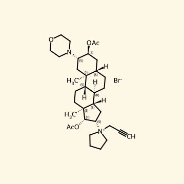 C#CC[N+]1([C@H]2C[C@H]3[C@@H]4CC[C@H]5C[C@H](OC(C)=O)[C@@H](N6CCOCC6)C[C@]5(C)[C@H]4CC[C@]3(C)[C@H]2OC(C)=O)CCCC1.[Br-]